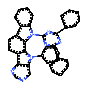 c1ccc(-c2nc(-c3ccccc3)nc(-n3c4ccccc4c4ccc5c6ncncc6n(-c6ccccc6)c5c43)n2)cc1